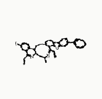 C=CC1=NC2CC(=C)/N=C(/C=C)c3c(ccc4c3oc3cc(-c5ccccc5)ccc34)CCC2c2ccc(F)cc21